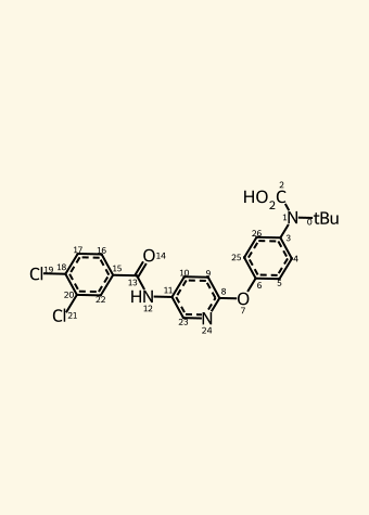 CC(C)(C)N(C(=O)O)c1ccc(Oc2ccc(NC(=O)c3ccc(Cl)c(Cl)c3)cn2)cc1